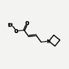 CCOC(=O)/C=C/CN1CCC1